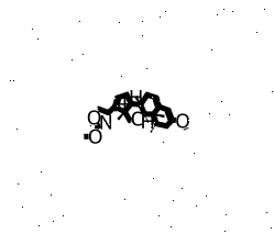 COC1=CC2=CC[C@@H]3[C@H](CC[C@]4(C)C(C5=NC(OC)OC5)=CC[C@@H]34)[C@@]2(C)[C@@H](C)C1